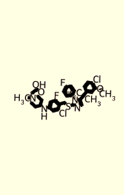 COc1cc(C(C)(C)c2cnc(SCc3c(F)cc(NC4CC[N+](C)(CC(=O)O)CC4)cc3Cl)n2-c2ccc(F)cc2)ccc1Cl